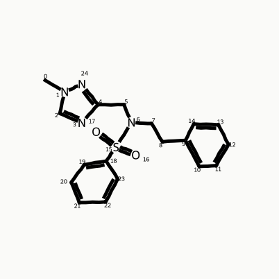 Cn1cnc(CN(CCc2ccccc2)S(=O)(=O)c2ccccc2)n1